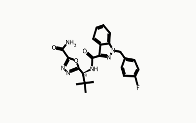 CC(C)(C)[C@H](NC(=O)c1nn(Cc2ccc(F)cc2)c2ccccc12)c1nnc(C(N)=O)o1